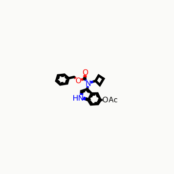 CC(=O)Oc1ccc2[nH]cc(N(C(=O)OCc3ccccc3)C3CCC3)c2c1